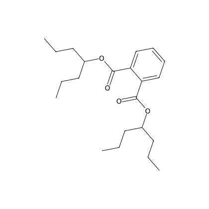 CCCC(CCC)OC(=O)c1ccccc1C(=O)OC(CCC)CCC